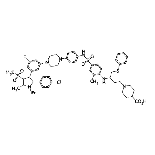 Cc1cc(S(=O)(=O)Nc2ccc(N3CCN(c4cc(F)cc(C5C(c6ccc(Cl)cc6)N(C(C)C)C(C)C5S(C)(=O)=O)c4)CC3)cc2)ccc1NC(CCN1CCC(C(=O)O)CC1)CSc1ccccc1